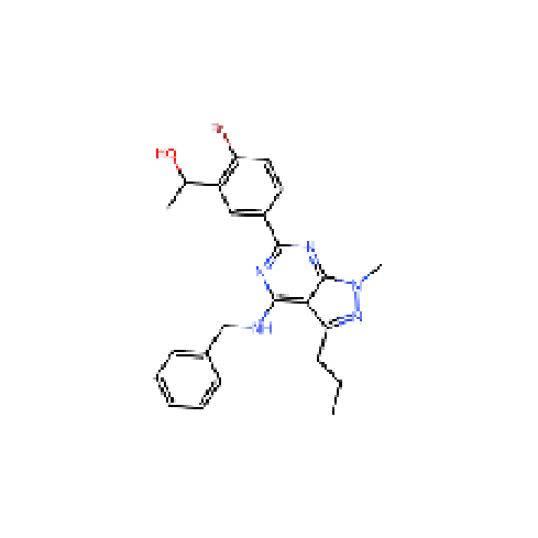 CCCc1nn(C)c2nc(-c3ccc(Br)c(C(C)O)c3)nc(NCc3ccccc3)c12